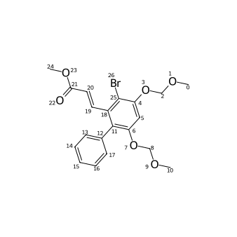 COCOc1cc(OCOC)c(-c2ccccc2)c(C=CC(=O)OC)c1Br